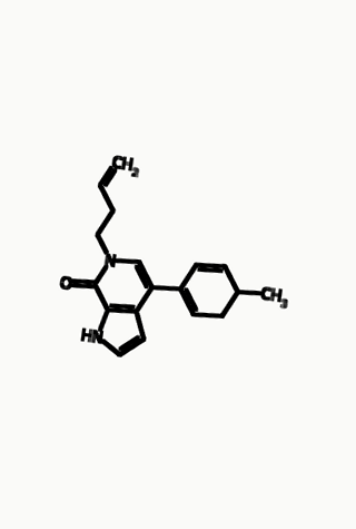 C=CCCn1cc(C2=CCC(C)C=C2)c2cc[nH]c2c1=O